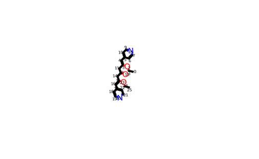 CCO/C(=C\c1ccncc1)CC(=O)C/C(=C/c1ccncc1)OCC